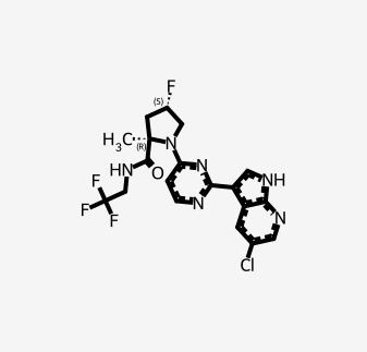 C[C@]1(C(=O)NCC(F)(F)F)C[C@H](F)CN1c1ccnc(-c2c[nH]c3ncc(Cl)cc23)n1